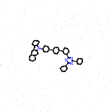 c1ccc(-c2nc(-c3ccccc3)nc(-c3cccc(-c4ccc(-c5ccc(-n6c7ccccc7c7cc8ccccc8cc76)cc5)cc4)c3)n2)cc1